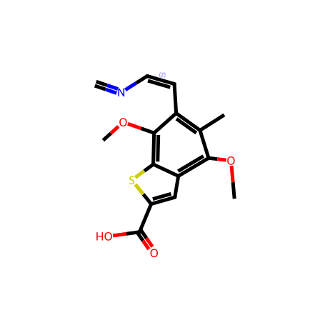 C=N/C=C\c1c(C)c(OC)c2cc(C(=O)O)sc2c1OC